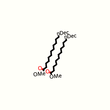 CCCCCCCCCCCCCCCCCCCCCC(=O)OC.CCCCCCCCCCCCCCCCCCCCCC(=O)OC